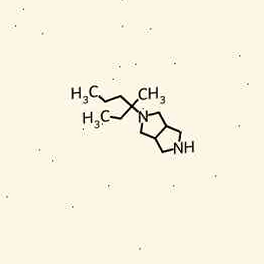 CCCC(C)(CC)N1CC2CNCC2C1